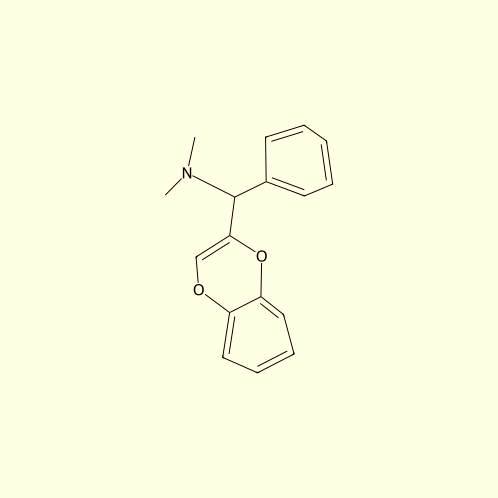 CN(C)C(C1=COc2ccccc2O1)c1ccccc1